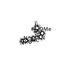 COc1ccc2ncc(C#N)c(Nc3ccc(Oc4cnc5ccnn5c4)c(C)c3)c2c1O[C@H]1CCN(C)CC1(F)F